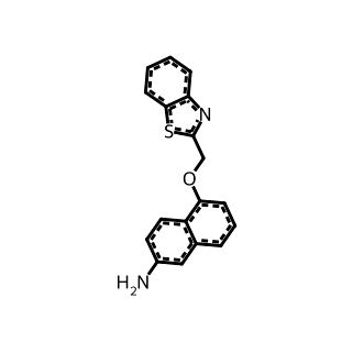 Nc1ccc2c(OCc3nc4ccccc4s3)cccc2c1